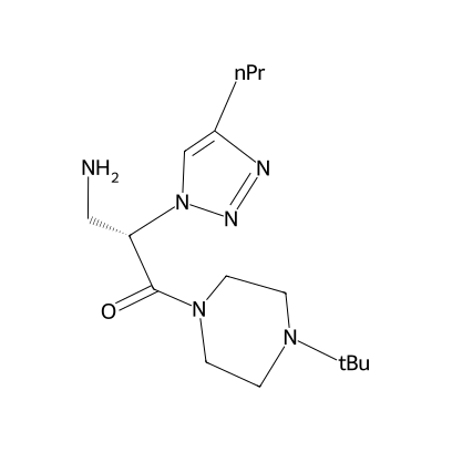 CCCc1cn([C@@H](CN)C(=O)N2CCN(C(C)(C)C)CC2)nn1